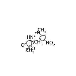 CN(CCNc1cc(=O)n(C)c(=O)n1C)c1ccc([N+](=O)[O-])cc1